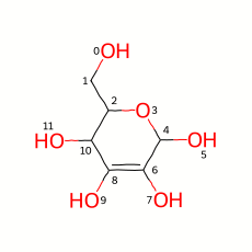 OCC1OC(O)C(O)=C(O)C1O